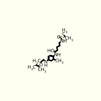 CC[C@@H](C)OC(C)CNC1=CC=C(NC(O)CCCCN[S@@+]([O-])C(C)C)C(C)C1